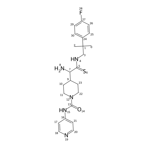 CC(C)(CNC(=S)C(N)C1CCN(C(=O)Nc2ccncc2)CC1)c1ccc(F)cc1